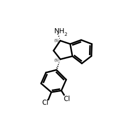 N[C@H]1C[C@@H](c2ccc(Cl)c(Cl)c2)c2ccccc21